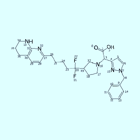 O=C(O)C(c1ccn(Cc2ccccc2)n1)N1CCC(C(F)(F)CCCCc2ccc3c(n2)NCCC3)C1